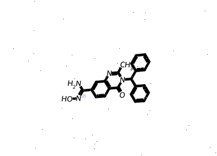 Cc1nc2cc(/C(N)=N/O)ccc2c(=O)n1C(c1ccccc1)c1ccccc1